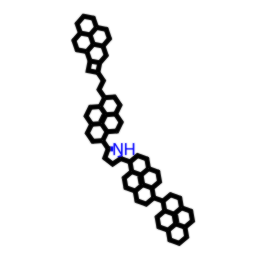 C1CC2CCC3CCC(C4CCC5CCC6C7=C5C4CCC7CCC6C4CCC(C5CCC6CCC7C8=C6C5CCC8CCC7CCC5CC6C5CC5CCC7CCCC8CCC6C5C78)N4)C4CCC(C1)C2=C34